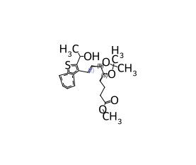 COC(=O)CCC[C@@H]1OC(C)(C)O[C@@H]1/C=C/c1c(C(C)O)sc2ccccc12